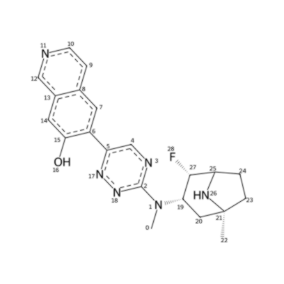 CN(c1ncc(-c2cc3ccncc3cc2O)nn1)[C@H]1C[C@]2(C)CCC(N2)[C@H]1F